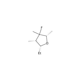 CC[C@H]1O[C@@H](C)C(C)(F)[C@H]1C